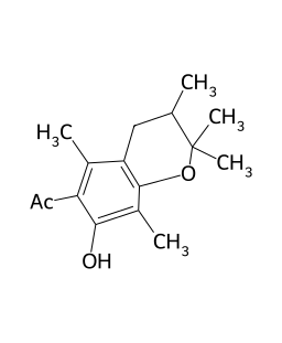 CC(=O)c1c(C)c2c(c(C)c1O)OC(C)(C)C(C)C2